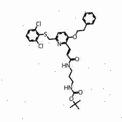 CC(C)(C)OC(=O)NCCCNC(=O)/C=C/c1nc(CSc2c(Cl)cccc2Cl)ccc1OCCc1ccccc1